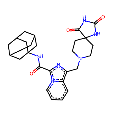 O=C1NC(=O)C2(CCN(Cc3nc(C(=O)NC45CC6CC(CC(C6)C4)C5)n4ccccc34)CC2)N1